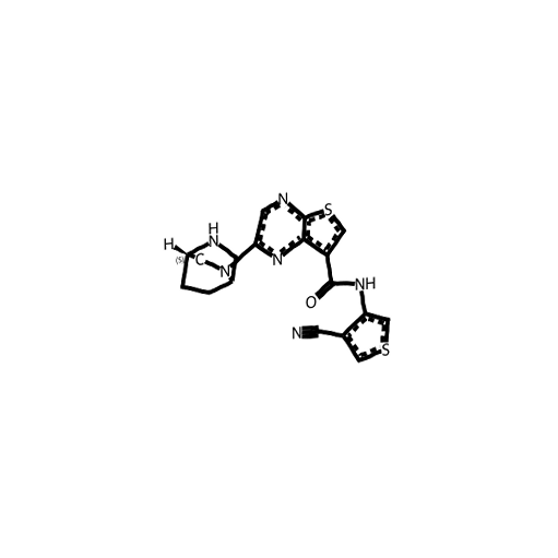 N#Cc1cscc1NC(=O)c1csc2ncc(N3C[C@@H]4CCC3CN4)nc12